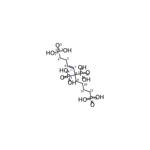 O=P(O)(O)CC/C=C/C(CCCCP(=O)(O)O)(P(=O)(O)O)P(=O)(O)O